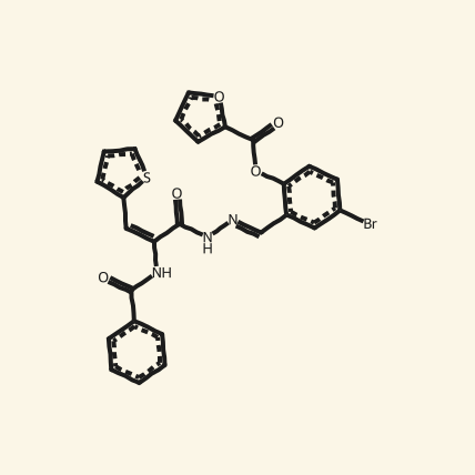 O=C(N/N=C/c1cc(Br)ccc1OC(=O)c1ccco1)/C(=C\c1cccs1)NC(=O)c1ccccc1